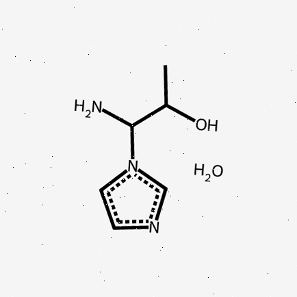 CC(O)C(N)n1ccnc1.O